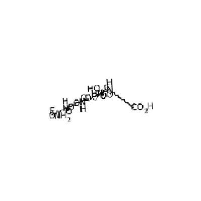 N[C@@H](CCCCNC(=O)COCCOCCNC(=O)COCCOCCNC(=O)CCC(NC(=O)CCCCCCCCCCCCC(=O)O)C(=O)O)C(=O)F